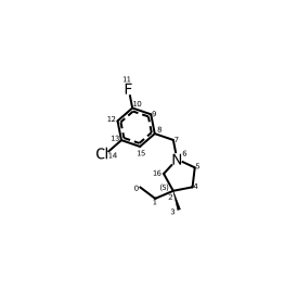 CC[C@@]1(C)CCN(Cc2cc(F)cc(Cl)c2)C1